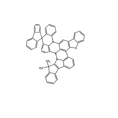 CC1(C)c2ccccc2-c2c1n1c3c(cccc23)-c2c3c(cc4c2sc2ccccc24)N2c4ccccc4C4(c5ccccc5-c5ccccc54)c4cccc(c42)B31